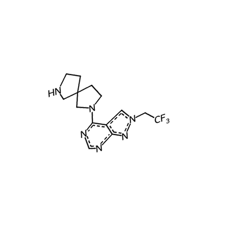 FC(F)(F)Cn1cc2c(N3CCC4(CCNC4)C3)ncnc2n1